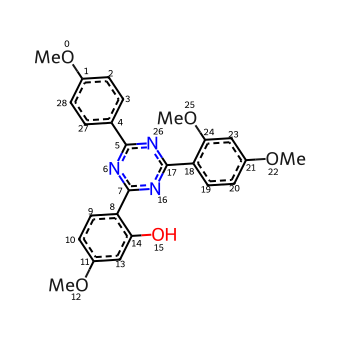 COc1ccc(-c2nc(-c3ccc(OC)cc3O)nc(-c3ccc(OC)cc3OC)n2)cc1